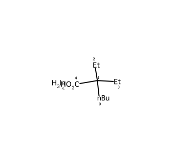 CCCCC(CC)(CC)C(=O)O.[InH3]